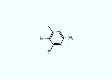 Cc1cccc(O)c1O.N